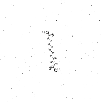 OC(=S)CCCCCCCCCCC(O)=S